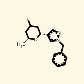 C[C@@H]1CC(I)C[C@H](c2cnn(Cc3ccccc3)c2)O1